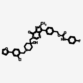 Cn1nc2c(=O)n(CC3(O)CCN(Cc4ccc(-c5ccco5)cc4Cl)CC3)cnc2c1-c1ccc(COC(=O)Nc2ccc(F)cc2)cc1